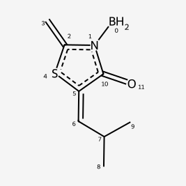 Bn1c(=C)s/c(=C/C(C)C)c1=O